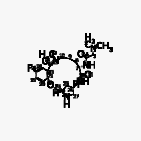 CN(C)CC(=O)N[C@H]1CCCN(C)C(=O)c2cc(F)ccc2OC[C@@H]2C[C@H](CN2)NC1=O